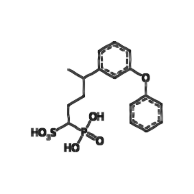 CC(CCC(P(=O)(O)O)S(=O)(=O)O)c1cccc(Oc2ccccc2)c1